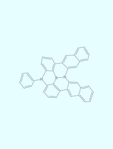 c1ccc(N2c3cccc4c3B3c5c(cccc52)-c2cc5ccccc5cc2N3c2cc3ccccc3cc2-4)cc1